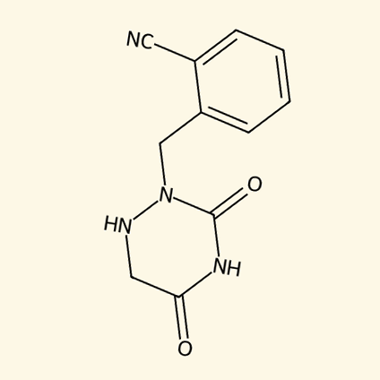 N#Cc1ccccc1CN1NCC(=O)NC1=O